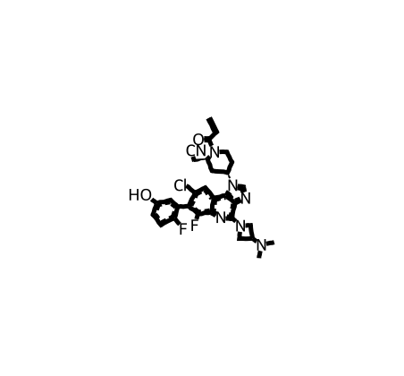 C=CC(=O)N1CC[C@H](n2cnc3c(N4CC(N(C)C)C4)nc4c(F)c(-c5cc(O)ccc5F)c(Cl)cc4c32)C[C@H]1CC#N